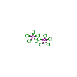 ClP(Cl)(Cl)(Cl)Cl.ClP(Cl)(Cl)(Cl)Cl